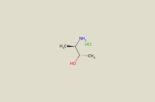 C[C@H](O)[C@@H](C)N.Cl